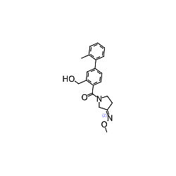 CO/N=C1/CCN(C(=O)c2ccc(-c3ccccc3C)cc2CO)C1